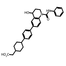 O=C(O)CC1CCC(c2ccc(-c3ccc4c(c3)C(O)CCN4C(=O)Nc3ccccc3)cc2)CC1